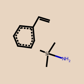 C=Cc1ccccc1.C[Si](C)(C)N